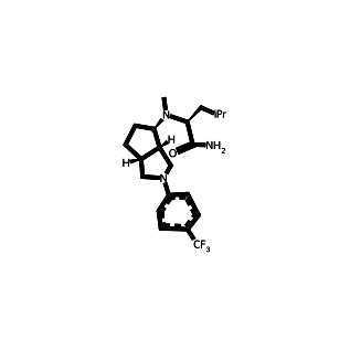 CC(C)C[C@@H](C(N)=O)N(C)[C@@H]1CC[C@H]2CN(c3ccc(C(F)(F)F)cc3)C[C@H]21